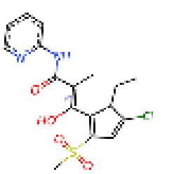 CCC1C(Cl)=CC(S(C)(=O)=O)=C1/C(O)=C(\C)C(=O)Nc1ccccn1